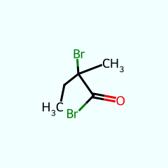 CCC(C)(Br)C(=O)Br